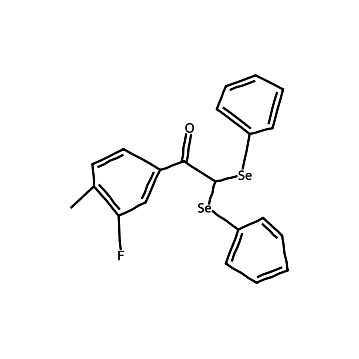 Cc1ccc(C(=O)C([Se]c2ccccc2)[Se]c2ccccc2)cc1F